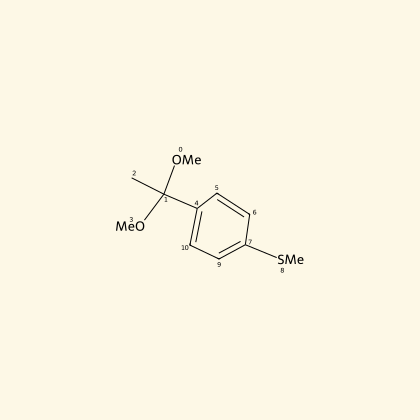 COC(C)(OC)c1ccc(SC)cc1